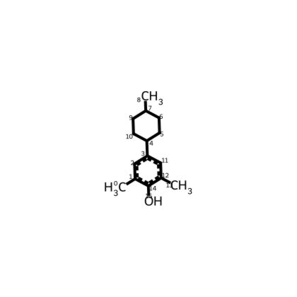 Cc1cc(C2CCC(C)CC2)cc(C)c1O